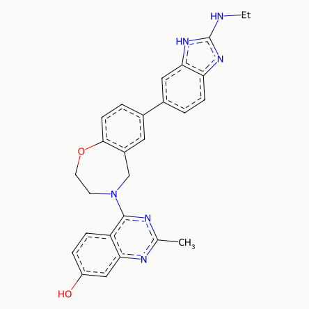 CCNc1nc2ccc(-c3ccc4c(c3)CN(c3nc(C)nc5cc(O)ccc35)CCO4)cc2[nH]1